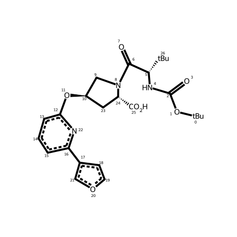 CC(C)(C)OC(=O)N[C@H](C(=O)N1C[C@H](Oc2cccc(-c3ccoc3)n2)C[C@H]1C(=O)O)C(C)(C)C